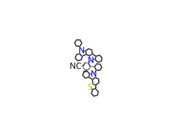 N#CC1=CC(n2c3ccccc3c3ccc4c(c5ccccc5n4-c4ccccc4)c32)=C(c2ccccc2-n2c3c#cccc3c3c4sc5ccccc5c4ccc32)CC1